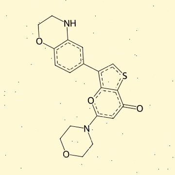 O=c1cc(N2CCOCC2)oc2c(-c3ccc4c(c3)NCCO4)csc12